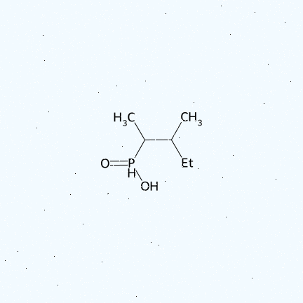 CCC(C)C(C)[PH](=O)O